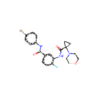 O=C(Nc1ccc(Br)cc1)c1ccc(F)c(NC(=O)C2(N3CCOCC3)CC2)c1